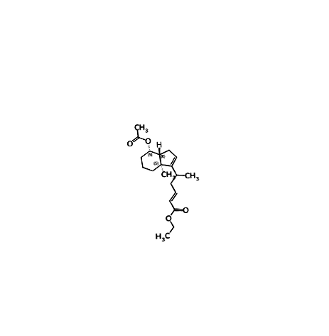 CCOC(=O)C=CCC(C)C1=CC[C@H]2[C@@H](OC(C)=O)CCC[C@]12C